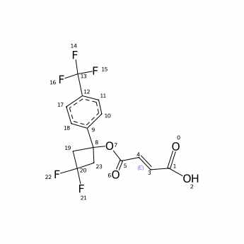 O=C(O)/C=C/C(=O)OC1(c2ccc(C(F)(F)F)cc2)CC(F)(F)C1